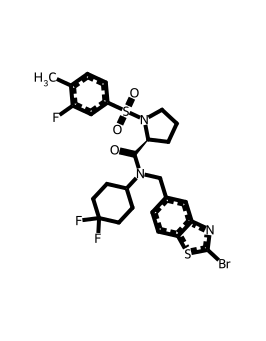 Cc1ccc(S(=O)(=O)N2CCC[C@H]2C(=O)N(Cc2ccc3sc(Br)nc3c2)C2CCC(F)(F)CC2)cc1F